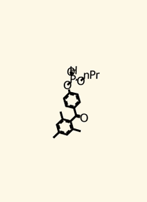 CCCO[PH](=O)Oc1ccc(C(=O)c2c(C)cc(C)cc2C)cc1